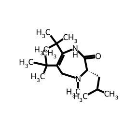 CC(C)C[C@H]1C(=O)NC(C(C)(C)C)=C(C(C)(C)C)CN1C